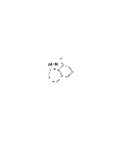 CN[C@@]12CCCCC1CCCC2C